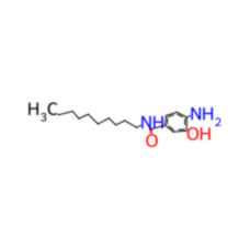 CCCCCCCCCCNC(=O)c1ccc(N)c(O)c1